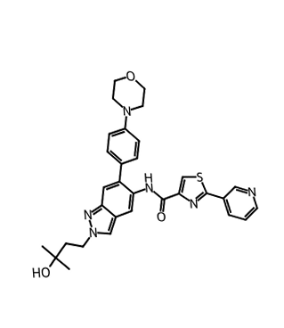 CC(C)(O)CCn1cc2cc(NC(=O)c3csc(-c4cccnc4)n3)c(-c3ccc(N4CCOCC4)cc3)cc2n1